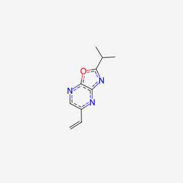 C=Cc1cnc2oc(C(C)C)nc2n1